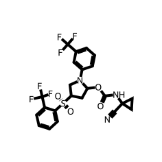 N#CC1(NC(=O)OC2CC(S(=O)(=O)c3ccccc3C(F)(F)F)CN2c2cccc(C(F)(F)F)c2)CC1